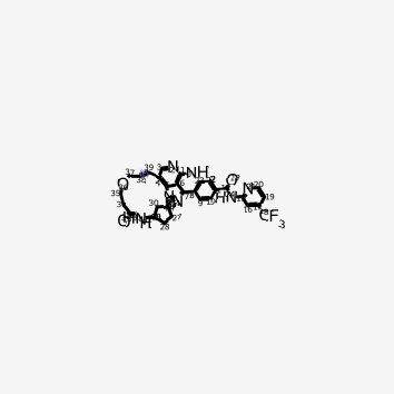 Nc1ncc2c3c1c(-c1ccc(C(=O)Nc4cc(C(F)(F)F)ccn4)cc1)nn3[C@@H]1CC[C@H](C1)NC(=O)CCOC/C=C/2